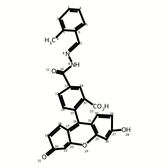 Cc1ccccc1/C=N/NC(=O)c1ccc(-c2c3ccc(=O)cc-3oc3cc(O)ccc23)c(C(=O)O)c1